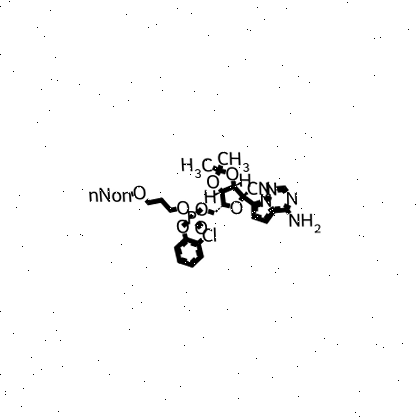 CCCCCCCCCOCCCOP(=O)(OC[C@H]1O[C@@](C#N)(c2ccc3c(N)ncnn23)[C@@H]2OC(C)(C)O[C@@H]21)Oc1ccccc1Cl